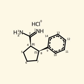 Cl.N=C(N)[C@@H]1CCC[C@@H]1c1ccccc1